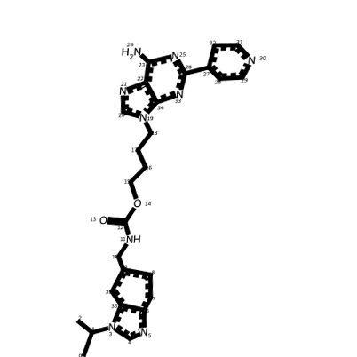 CC(C)n1cnc2ccc(CNC(=O)OCCCCn3cnc4c(N)nc(-c5ccncc5)nc43)cc21